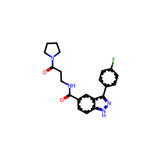 O=C(NCCC(=O)N1CCCC1)c1ccc2[nH]nc(-c3ccc(F)cc3)c2c1